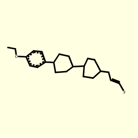 CCOc1ccc(C2CCC(C3CCC(CC=CF)CC3)CC2)cc1